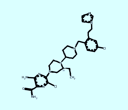 CC[C@H]1CN(c2nc(N)c(C(N)=O)nc2Cl)CCN1C1CCN(Cc2ccc(Cl)cc2CCn2ccnc2)CC1